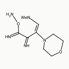 CN/C=C(\C(=N)C(=N)ON)N1CCOCC1